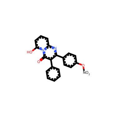 O=c1c(-c2ccccc2)c(-c2ccc(O[N+](=O)[O-])cc2)nc2cccc(O)n12